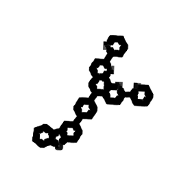 c1ccc(-c2ccc3cc(-c4ccc(-c5ccc6oc7ccccc7c6c5)cc4)c4ccc(-c5ccccn5)nc4c3n2)nc1